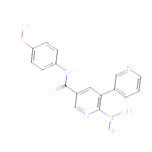 CCCCN(C)c1ncc(C(=O)Nc2ccc(OC(F)(F)F)cc2)cc1-c1cccnc1